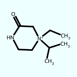 CC[N+]1(C(C)C)CCNC(=O)C1